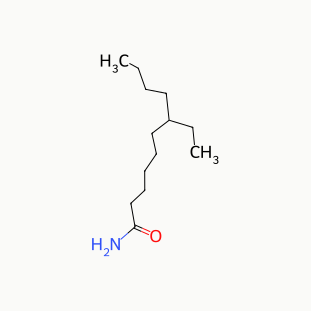 CCCCC(CC)CCCCCC(N)=O